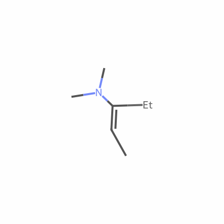 C/C=C(\CC)N(C)C